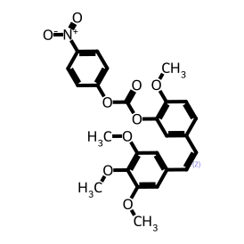 COc1ccc(/C=C\c2cc(OC)c(OC)c(OC)c2)cc1OC(=O)Oc1ccc([N+](=O)[O-])cc1